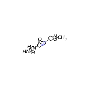 Cc1nc2ccc(C3=C\C(=O)N4C=C(N5C[C@H]6CNC[C@H]6C5)C=C\C4=C/C=C/3)cc2o1